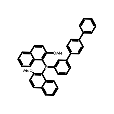 COc1ccc2ccccc2c1B(c1cccc(-c2ccc(-c3ccccc3)cc2)c1)c1c(OC)ccc2ccccc12